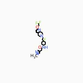 Cn1cc(CC(=O)NC2CCC(F)(CCN3CCc4ccc(OCC(F)F)nc4CC3)CC2)cn1